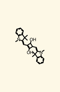 CN1/C(=C/C2=C(O)C(/C=C3/N(C)c4ccccc4C3(C)C)C2O)C(C)(C)c2ccccc21